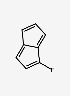 FC1=CC=C2C=CC=C12